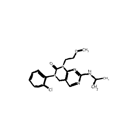 COCCN1C(=O)N(c2ccccc2Cl)Cc2cnc(NC(C)C)nc21